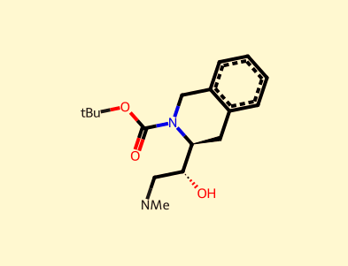 CNC[C@@H](O)[C@@H]1Cc2ccccc2CN1C(=O)OC(C)(C)C